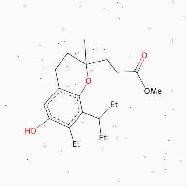 CCc1c(O)cc2c(c1C(CC)CC)OC(C)(CCC(=O)OC)CC2